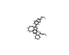 NC(=O)[C@@H]1COCCN1c1cc2c3c(c1)nc(-c1ccc4nc(N)sc4c1)n3CCCCO2